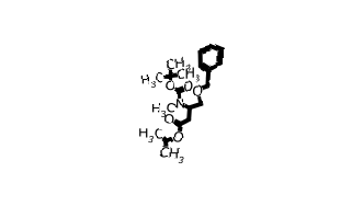 CC(C)OC(=O)CC(COCc1ccccc1)N(C)C(=O)OC(C)(C)C